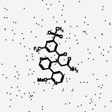 COc1ncccc1-c1ccncc1N(CC(N)=O)C(=O)c1cc(C(F)(F)F)cc(S(C)(=O)=O)c1